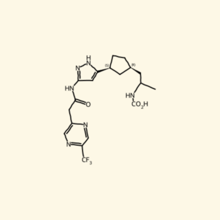 CC(C[C@@H]1CC[C@H](c2cc(NC(=O)Cc3cnc(C(F)(F)F)cn3)n[nH]2)C1)NC(=O)O